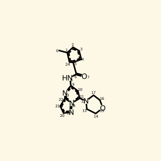 Cc1cccc(C(=O)Nc2cc(N3CCOCC3)n3nccc3n2)c1